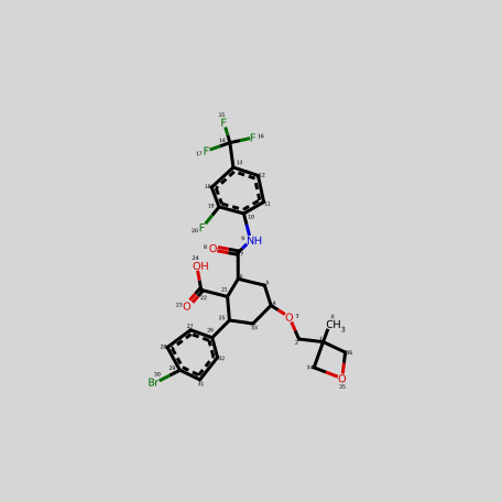 CC1(COC2CC(C(=O)Nc3ccc(C(F)(F)F)cc3F)C(C(=O)O)C(c3ccc(Br)cc3)C2)COC1